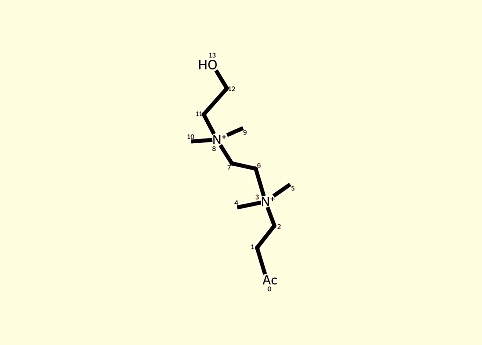 CC(=O)CC[N+](C)(C)CC[N+](C)(C)CCO